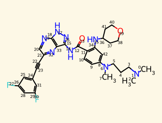 CN(C)CCCN(C)c1ccc(C(=O)Nc2n[nH]c3ncc(C#Cc4cc(F)cc(F)c4)nc23)c(NC2CCOCC2)c1